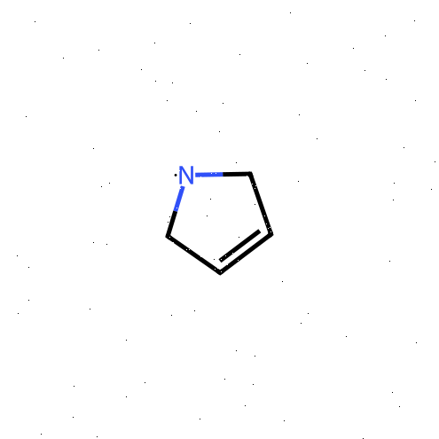 C1=CC[N]C1